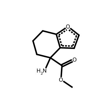 COC(=O)C1(N)CCCc2occc21